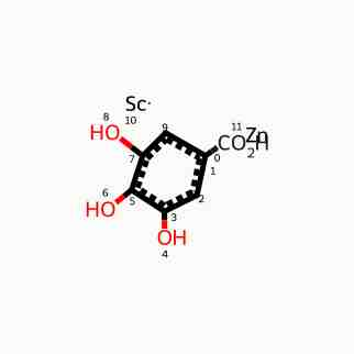 O=C(O)c1cc(O)c(O)c(O)c1.[Sc].[Zn]